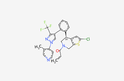 C=CC(=O)N1Cc2sc(Cl)cc2[C@H](c2ccccc2-c2cn(-c3ccncc3C)nc2C(F)(F)F)C1